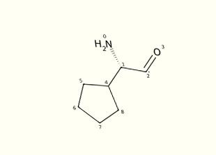 N[C@H]([C]=O)C1CCCC1